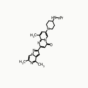 CCCNC1CCN(c2cc(C)c3nc(-c4cc5c(C)nc(C)cn5n4)cc(=O)n3c2)CC1